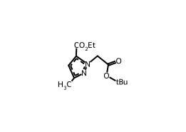 CCOC(=O)c1cc(C)nn1CC(=O)OC(C)(C)C